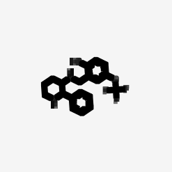 Oc1ccc(OC(F)(F)F)cc1CNC1CCCNC1c1ccccc1